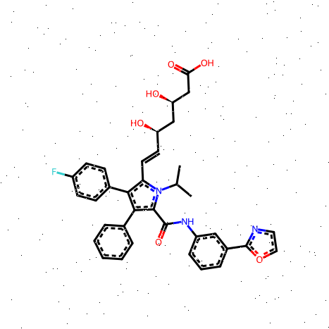 CC(C)n1c(C=C[C@@H](O)C[C@@H](O)CC(=O)O)c(-c2ccc(F)cc2)c(-c2ccccc2)c1C(=O)Nc1cccc(-c2ncco2)c1